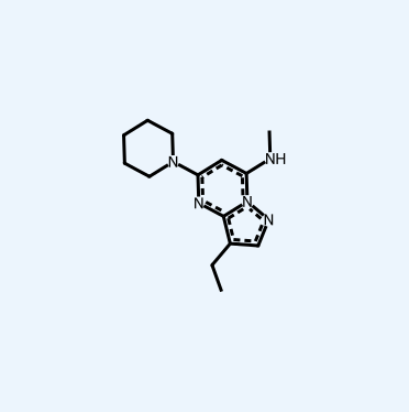 CCc1cnn2c(NC)cc(N3CCCCC3)nc12